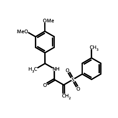 C=C(C(=O)NC(C)c1ccc(OC)c(OC)c1)S(=O)(=O)c1cccc(C)c1